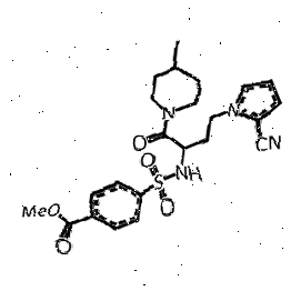 COC(=O)c1ccc(S(=O)(=O)NC(CCn2cccc2C#N)C(=O)N2CCC(C)CC2)cc1